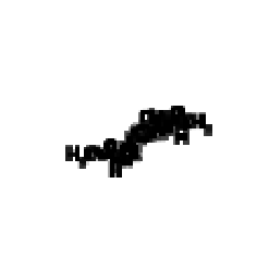 CCCC(=O)Nc1cc(CN2CCN(c3ccc(C(=O)NC)nc3Cl)CC2)ccn1